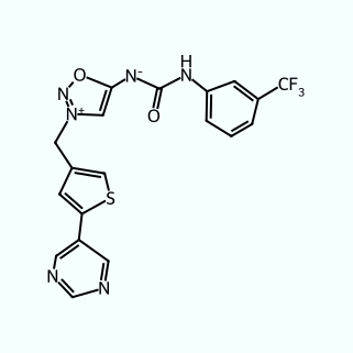 O=C([N-]c1c[n+](Cc2csc(-c3cncnc3)c2)no1)Nc1cccc(C(F)(F)F)c1